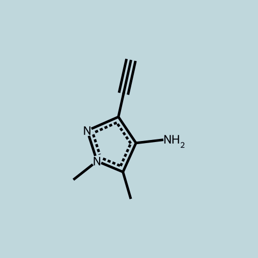 C#Cc1nn(C)c(C)c1N